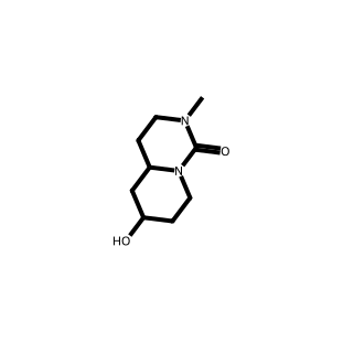 CN1CCC2CC(O)CCN2C1=O